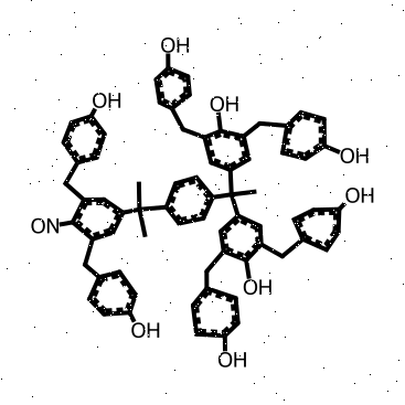 CC(C)(c1ccc(C(C)(c2cc(Cc3ccc(O)cc3)c(O)c(Cc3ccc(O)cc3)c2)c2cc(Cc3ccc(O)cc3)c(O)c(Cc3ccc(O)cc3)c2)cc1)c1cc(Cc2ccc(O)cc2)c(N=O)c(Cc2ccc(O)cc2)c1